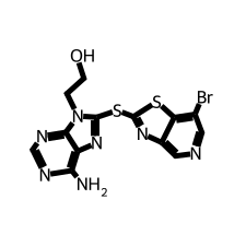 Nc1ncnc2c1nc(Sc1nc3cncc(Br)c3s1)n2CCO